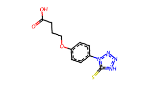 O=C(O)CCCOc1ccc(-n2nn[nH]c2=S)cc1